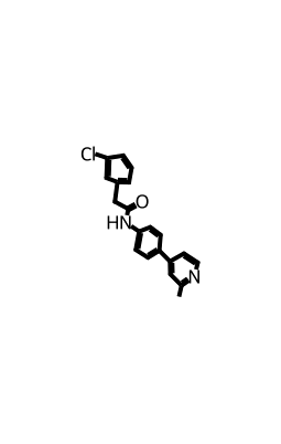 Cc1cc(-c2ccc(NC(=O)Cc3cccc(Cl)c3)cc2)ccn1